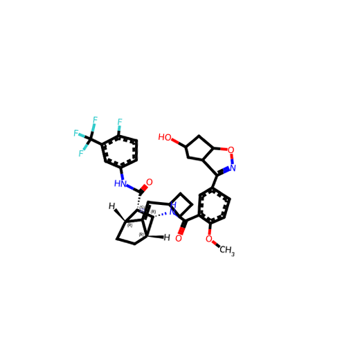 COc1ccc(C2=NOC3CC(O)CC23)cc1C(=O)N[C@H]1[C@@H](C(=O)Nc2ccc(F)c(C(F)(F)F)c2)[C@H]2CC[C@@H]1/C2=C\C1CCC1